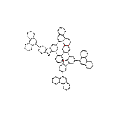 c1ccc(-c2cc(-c3cc4ccccc4c4ccccc34)cc3c2sc2ccc(-c4cc5ccccc5c5ccccc45)cc23)c(-c2ccccc2-c2cc(-c3cc4ccccc4c4ccccc34)cc3c2sc2ccc(-c4cc5ccccc5c5ccccc45)cc23)c1